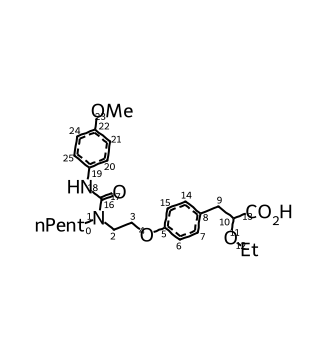 CCCCCN(CCOc1ccc(CC(OCC)C(=O)O)cc1)C(=O)Nc1ccc(OC)cc1